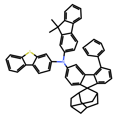 CC1(C)c2ccccc2-c2ccc(N(c3ccc4c(c3)-c3c(-c5ccccc5)cccc3C43C4CC5CC(C4)CC3C5)c3ccc4c(c3)sc3ccccc34)cc21